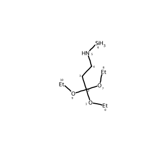 CCOC(CCN[SiH3])(OCC)OCC